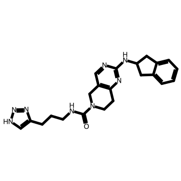 O=C(NCCCc1c[nH]nn1)N1CCc2nc(NC3Cc4ccccc4C3)ncc2C1